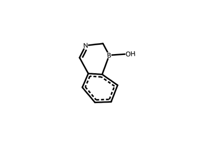 OB1CN=Cc2ccccc21